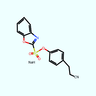 N#CCCc1ccc(OS(=O)(=O)c2nc3ccccc3o2)cc1.[NaH]